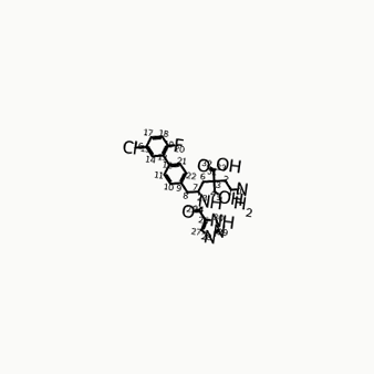 NCCC(CO)(CC(Cc1ccc(-c2cc(Cl)ccc2F)cc1)NC(=O)c1cnn[nH]1)C(=O)O